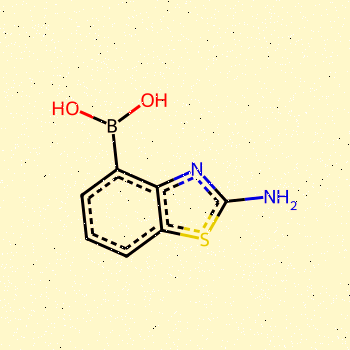 Nc1nc2c(B(O)O)cccc2s1